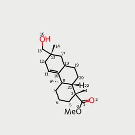 COC(=O)[C@]1(C)CCC[C@@]2(C)C3=CC[C@](C)(CO)CC3CC[C@H]12